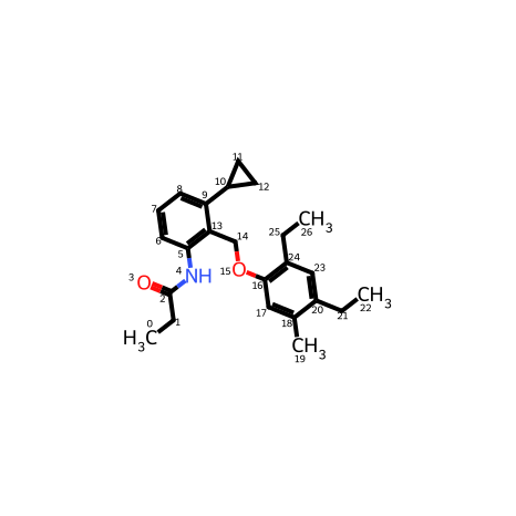 CCC(=O)Nc1cccc(C2CC2)c1COc1cc(C)c(CC)cc1CC